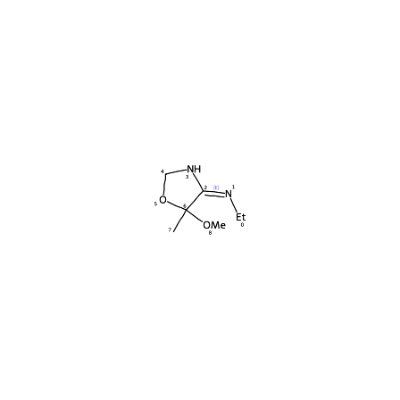 CC/N=C1/NCOC1(C)OC